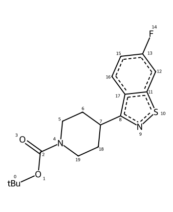 CC(C)(C)OC(=O)N1CCC(c2nsc3cc(F)ccc23)CC1